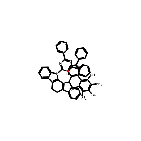 Bc1c(B)c(-c2cc(-c3ccccc3)ccc2C2C3=C(CCc4c3n(C3=NC(c5ccccc5)=NC(c5ccccc5)N3)c3ccccc43)c3ccccc32)c(O)c(B)c1O